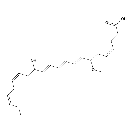 CC/C=C\C/C=C\CC(O)C=CC=CC=CC(C/C=C\CCC(=O)O)OC